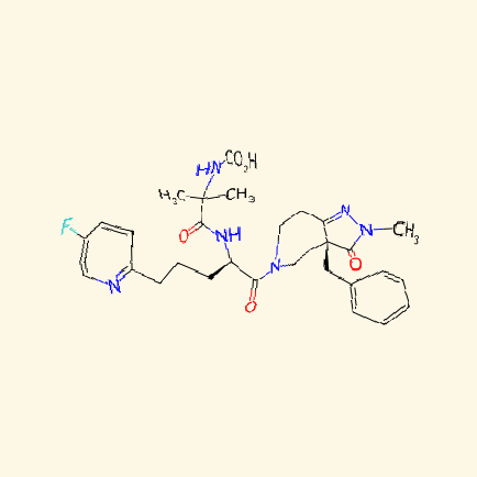 CN1N=C2CCN(C(=O)[C@@H](CCCc3ccc(F)cn3)NC(=O)C(C)(C)NC(=O)O)C[C@@]2(Cc2ccccc2)C1=O